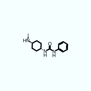 O=C(Nc1ccccc1)N[C@H]1CC[C@H](NI)CC1